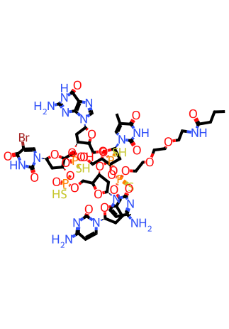 CCCC(=O)NCCOCCOCCOP(=S)(OCC1O[C@@H](n2ccc(N)nc2=O)C[C@H]1C)O[C@@H]1C[C@H](n2cc(C)c(=O)[nH]c2=O)OC1COP(=O)(S)O[C@@H]1C[C@H](n2cnc3c(=O)[nH]c(N)nc32)OC1COP(=O)(S)O[C@@H]1C[C@H](n2ccc(N)nc2=O)OC1COP(=O)(S)O[C@@H]1C[C@H](n2cc(Br)c(=O)[nH]c2=O)OC1CO